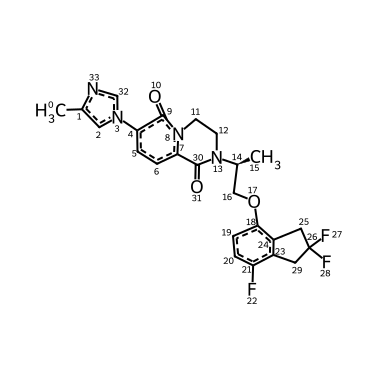 Cc1cn(-c2ccc3n(c2=O)CCN([C@@H](C)COc2ccc(F)c4c2CC(F)(F)C4)C3=O)cn1